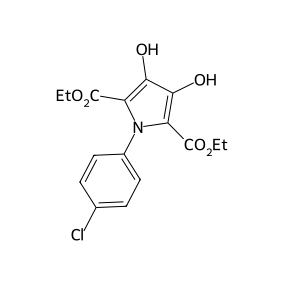 CCOC(=O)c1c(O)c(O)c(C(=O)OCC)n1-c1ccc(Cl)cc1